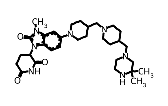 Cn1c(=O)n(C2CCC(=O)NC2=O)c2ccc(N3CCC(CN4CCC(CN5CCNC(C)(C)C5)CC4)CC3)cc21